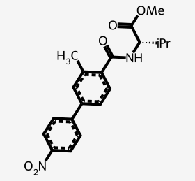 COC(=O)[C@@H](NC(=O)c1ccc(-c2ccc([N+](=O)[O-])cc2)cc1C)C(C)C